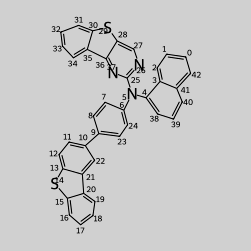 c1ccc2c(N(c3ccc(-c4ccc5sc6ccccc6c5c4)cc3)c3ncc4sc5ccccc5c4n3)cccc2c1